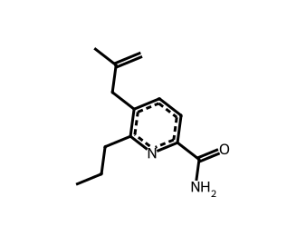 C=C(C)Cc1ccc(C(N)=O)nc1CCC